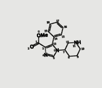 COC(=O)c1ncn(C2CCCNC2)c1-c1ccccc1